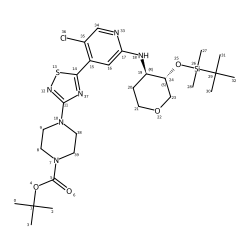 CC(C)(C)OC(=O)N1CCN(c2nsc(-c3cc(N[C@@H]4CCOC[C@H]4O[Si](C)(C)C(C)(C)C)ncc3Cl)n2)CC1